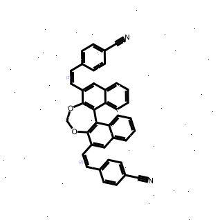 N#Cc1ccc(/C=C\c2cc3ccccc3c3c2OCOc2c(/C=C\c4ccc(C#N)cc4)cc4ccccc4c2-3)cc1